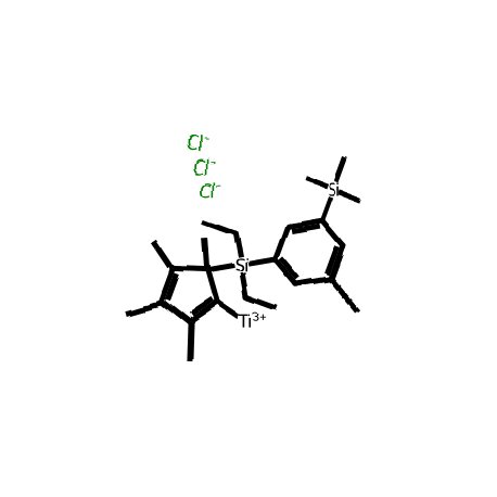 CC[Si](CC)(c1cc(C)cc([Si](C)(C)C)c1)C1(C)C(C)=C(C)C(C)=[C]1[Ti+3].[Cl-].[Cl-].[Cl-]